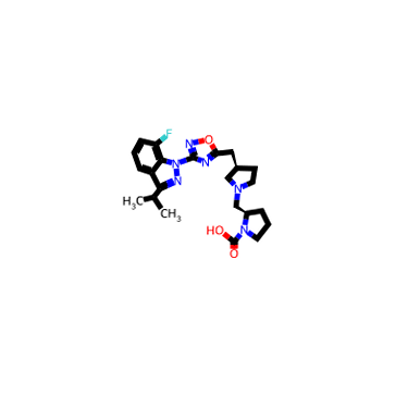 CC(C)c1nn(-c2noc(C[C@H]3CCN(C[C@H]4CCCN4C(=O)O)C3)n2)c2c(F)cccc12